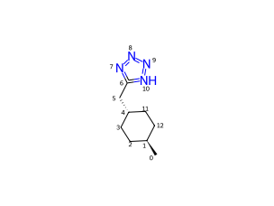 C[C@H]1CC[C@H](Cc2nnn[nH]2)CC1